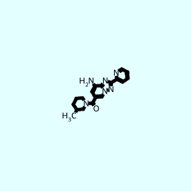 CC1CCCN(C(=O)c2cc(N)c3nc(-c4ccccn4)nn3c2)C1